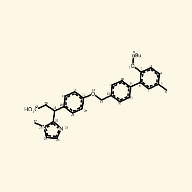 CCCCOc1ccc(C)cc1-c1ccc(COc2ccc(C(CC(=O)O)c3nccn3C)cc2)cc1